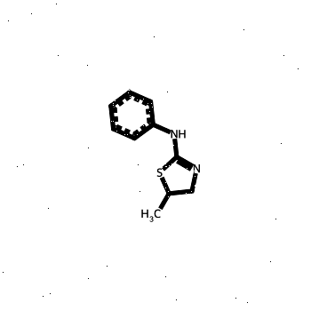 CC1CN=C(Nc2c[c]ccc2)S1